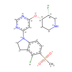 CS(=O)(=O)c1ccc2c(c1F)CCN2c1cc(O[C@H]2CCNC[C@H]2F)ncn1